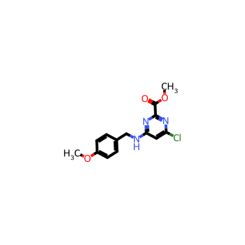 COC(=O)c1nc(Cl)cc(NCc2ccc(OC)cc2)n1